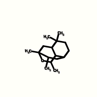 CC1OC2(C)CC3C1C(CCC3(C)C)CC2C